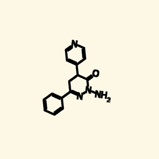 NN1N=C(c2ccccc2)CC(c2ccncc2)C1=O